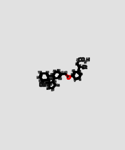 CC[C@H](CC(=O)O)c1cccc(OCc2ccc(-c3cccc(OC)c3)c(C3CCCC3(C)C)c2)c1